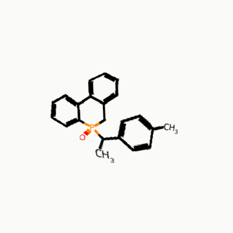 Cc1ccc(C(C)P2(=O)Cc3ccccc3-c3ccccc32)cc1